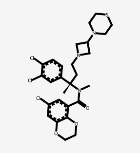 CN(C(=O)c1cc(Cl)cc2c1OCCO2)[C@@](C)(CCN1CC(N2CCSCC2)C1)c1ccc(Cl)c(Cl)c1